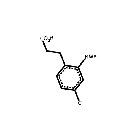 CNc1cc(Cl)ccc1CCC(=O)O